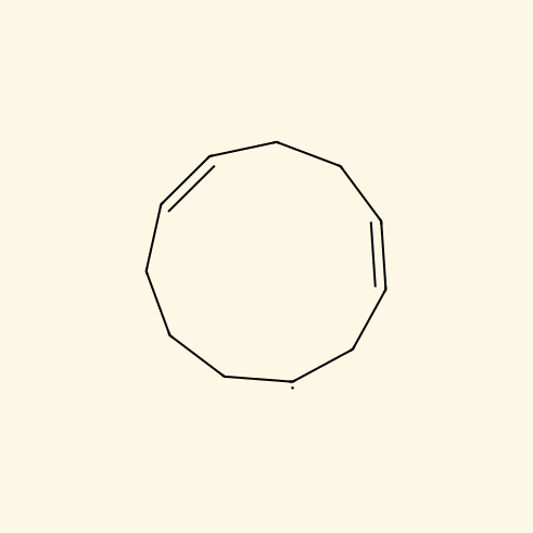 [CH]1CC=CCCC=CCCC1